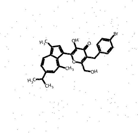 Cc1cc(-c2oc(CO)c(Cc3ccc(Br)cc3)c(=O)c2O)c2c(C)cc(C(C)C)ccc1-2